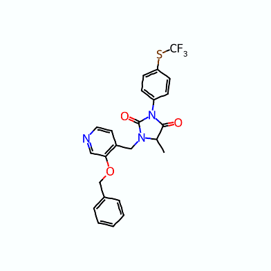 CC1C(=O)N(c2ccc(SC(F)(F)F)cc2)C(=O)N1Cc1ccncc1OCc1ccccc1